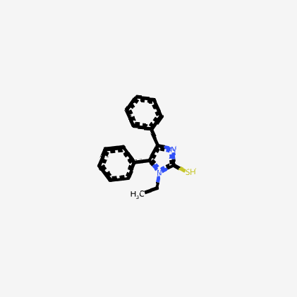 CCn1c(S)nc(-c2ccccc2)c1-c1ccccc1